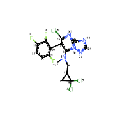 CN(CC1CC1(Cl)Cl)c1c(-c2c(F)ccc(F)c2F)c(Cl)nc2ncnn12